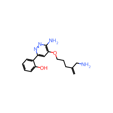 C=C(CN)CCCOc1cc(-c2ccccc2O)nnc1N